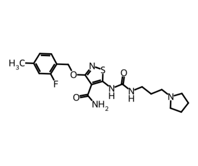 Cc1ccc(COc2nsc(NC(=O)NCCCN3CCCC3)c2C(N)=O)c(F)c1